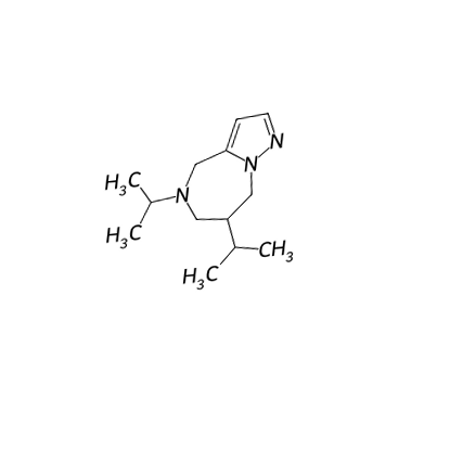 CC(C)C1CN(C(C)C)Cc2ccnn2C1